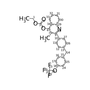 CCOC(=O)Oc1c(C)c(-c2ccc(Cc3ccc(OC(F)(F)F)cc3)cc2)nc2ccccc12